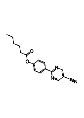 CCCCCC(=O)Oc1ccc(-c2ncc(C#N)cn2)cc1